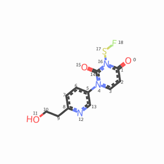 O=c1ccn(-c2ccc(CCO)nc2)c(=O)n1SF